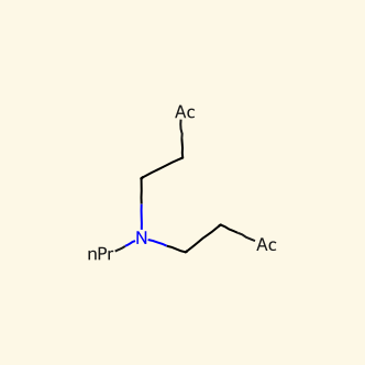 CCCN(CCC(C)=O)CCC(C)=O